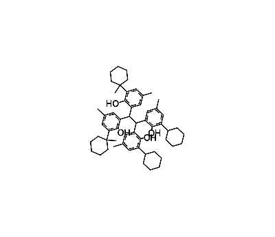 Cc1cc(C2CCCCC2)c(O)c(C(c2cc(C)cc(C3CCCCC3)c2O)C(c2cc(C)cc(C3(C)CCCCC3)c2O)c2cc(C)cc(C3(C)CCCCC3)c2O)c1